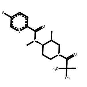 C[C@H]1CN(C(=O)C(C)(O)C(F)(F)F)CC[C@H]1N(C)C(=O)c1ccc(F)cn1